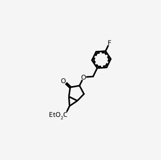 CCOC(=O)C1C2CC(OCc3ccc(F)cc3)C(=O)C21